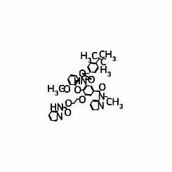 CCN(C(=O)c1cc(NS(=O)(=O)c2ccc(C(C)(C)C)cc2)c(Oc2ccccc2OC)c(OCCOC(=O)Nc2ccccn2)c1)c1ccccn1